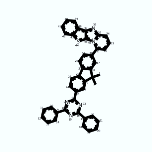 CC1(C)c2cc(-c3nc(-c4ccccc4)nc(-c4ccccc4)n3)ccc2-c2ccc(-c3cccc4nc5c6ccccc6sc5n34)cc21